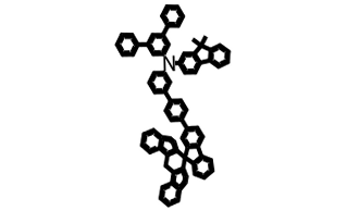 CC1(C)c2ccccc2-c2ccc(N(c3cccc(-c4ccc(-c5ccc6c(c5)C5(c7ccccc7-6)c6ccc7ccccc7c6Cc6c5ccc5ccccc65)cc4)c3)c3cc(-c4ccccc4)cc(-c4ccccc4)c3)cc21